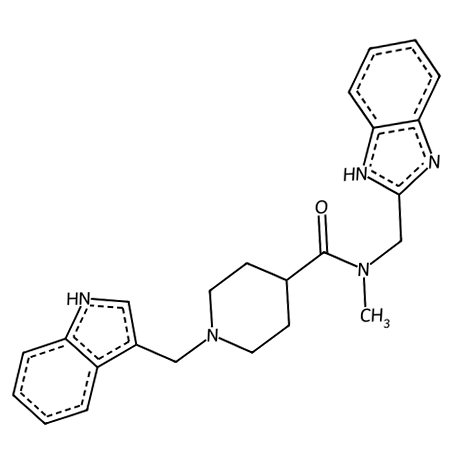 CN(Cc1nc2ccccc2[nH]1)C(=O)C1CCN(Cc2c[nH]c3ccccc23)CC1